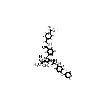 CC(C)(C)c1cc(NC(=O)Nc2ccc(Oc3ccncc3)cc2)n(-c2cccc(C(=O)NCC3CCN(C(=O)O)CC3)c2)n1